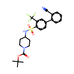 CC(C)(C)OC(=O)N1CCC(NS(=O)(=O)c2ccc(-c3ccccc3C#N)cc2C(F)(F)F)CC1